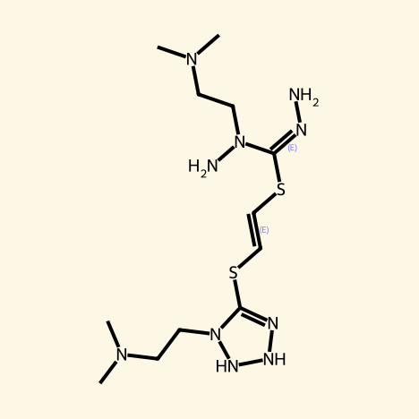 CN(C)CCN1NNN=C1S/C=C/S/C(=N/N)N(N)CCN(C)C